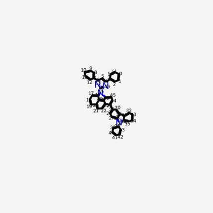 c1ccc(-c2cc(-c3ccccc3)nc(-n3c4cccc5ccc6c(-c7ccc8c(c7)c7ccccc7n8-c7ccccc7)ccc3c6c54)n2)cc1